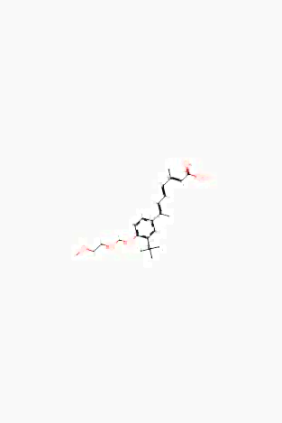 COCCOCOc1ccc(C(C)=CC=CC(C)=CC(=O)O)cc1C(C)(C)C